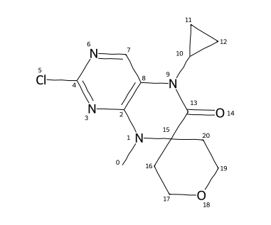 CN1c2nc(Cl)ncc2N(C2CC2)C(=O)C12CCOCC2